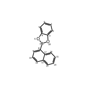 c1ccc2c(c1)OB(c1cccc3ccccc13)O2